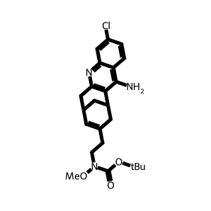 CON(CCC1=CC2Cc3nc4cc(Cl)ccc4c(N)c3C(C1)C2)C(=O)OC(C)(C)C